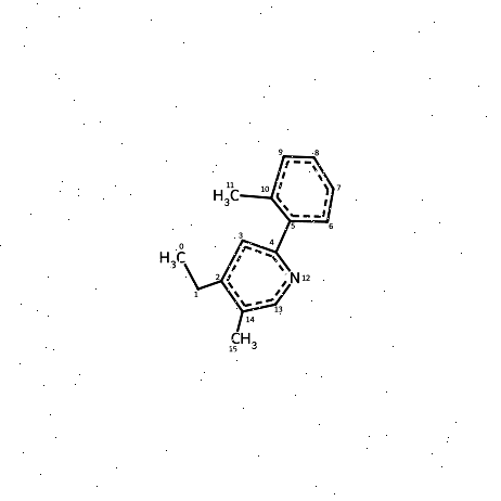 CCc1cc(-c2ccccc2C)ncc1C